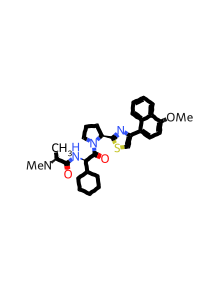 CN[C@@H](C)C(=O)N[C@H](C(=O)N1CCC[C@H]1c1nc(-c2ccc(OC)c3ccccc23)cs1)C1CCCCC1